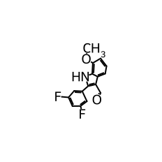 COc1cccc2c(C=O)c(-c3cc(F)cc(F)c3)[nH]c12